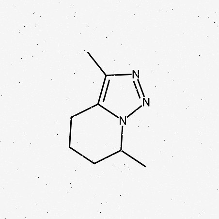 Cc1nnn2c1CCCC2C